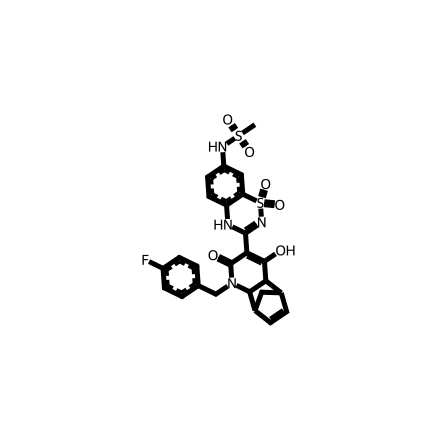 CS(=O)(=O)Nc1ccc2c(c1)S(=O)(=O)N=C(C1=C(O)C3C4C=CC(C4)C3N(Cc3ccc(F)cc3)C1=O)N2